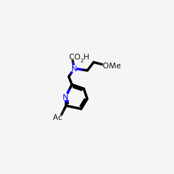 COCCN(Cc1cccc(C(C)=O)n1)C(=O)O